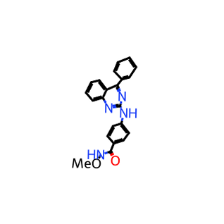 CONC(=O)c1ccc(Nc2nc(-c3ccccc3)c3ccccc3n2)cc1